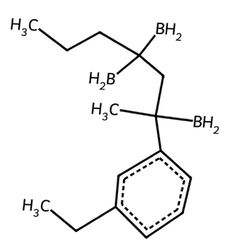 BC(B)(CCC)CC(B)(C)c1cccc(CC)c1